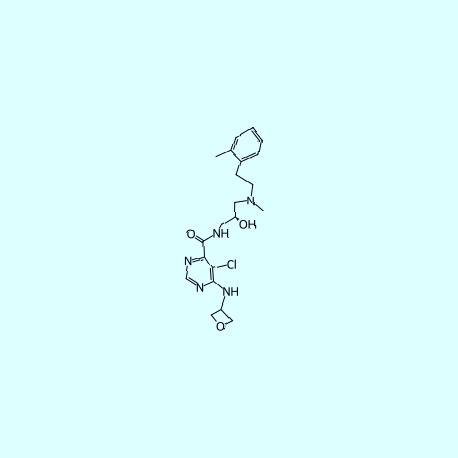 Cc1ccccc1CCN(C)C[C@@H](O)CNC(=O)c1ncnc(NC2COC2)c1Cl